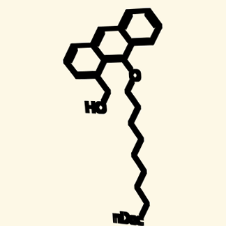 CCCCCCCCCCCCCCCCCCOc1c2ccccc2cc2cccc(CO)c12